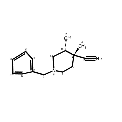 C[C@@]1(C#N)CCN(Cc2ccccc2)C[C@@H]1O